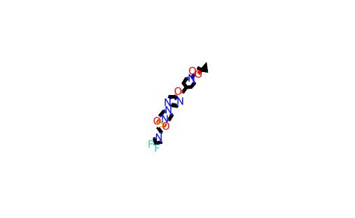 CC1(OC(=O)N2CCC(COc3cnc(N4CCN(S(=O)(=O)CCN5CC(F)(F)C5)CC4)cn3)CC2)CC1